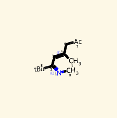 C/N=C(\C=C(/C)CC(C)=O)C(C)(C)C